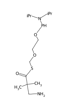 CC(C)N(POCCOCSC(=O)C(C)(C)CN)C(C)C